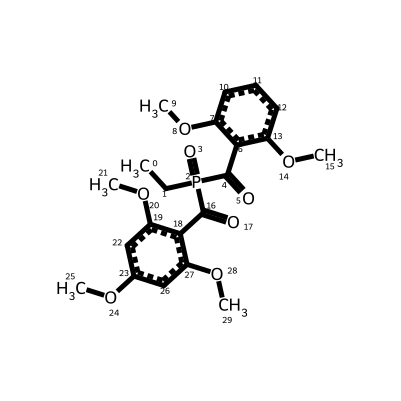 CCP(=O)(C(=O)c1c(OC)cccc1OC)C(=O)c1c(OC)cc(OC)cc1OC